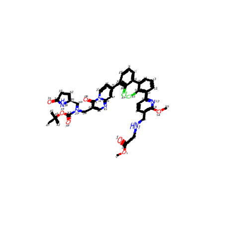 COC(=O)CNCc1ccc(-c2cccc(-c3cccc(-c4ccn5c(=O)c(CN(C[C@@H]6CCC(=O)N6)C(=O)OC(C)(C)C)cnc5c4)c3Cl)c2Cl)nc1OC